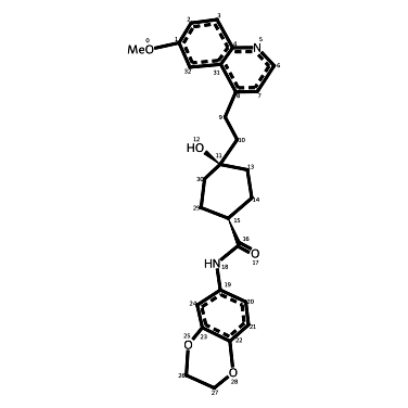 COc1ccc2nccc(CC[C@]3(O)CC[C@@H](C(=O)Nc4ccc5c(c4)OCCO5)CC3)c2c1